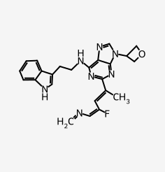 C=N/C=C(F)\C=C(/C)c1nc(NCCc2c[nH]c3ccccc23)c2ncn(C3COC3)c2n1